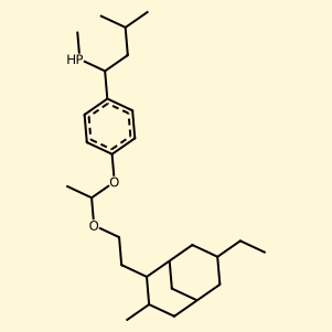 CCC1CC2CC(C)C(CCOC(C)Oc3ccc(C(CC(C)C)PC)cc3)C(C1)C2